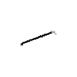 CCCCCCCCCCCCCCCCCCC/C=C/CCCCCCC#N